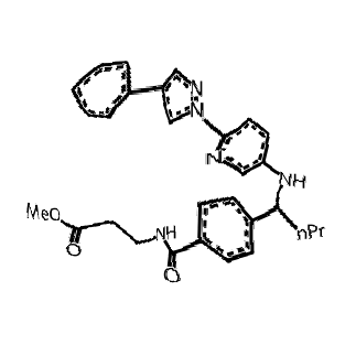 CCCC(Nc1ccc(-n2cc(-c3ccccc3)cn2)nc1)c1ccc(C(=O)NCCC(=O)OC)cc1